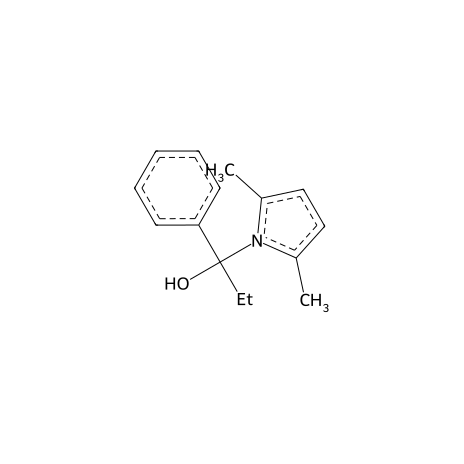 CCC(O)(c1ccccc1)n1c(C)ccc1C